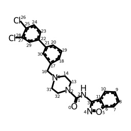 O=C(Nc1noc2ccccc12)N1CCN(Cc2cccc(-c3ccc(Cl)c(Cl)c3)c2)CC1